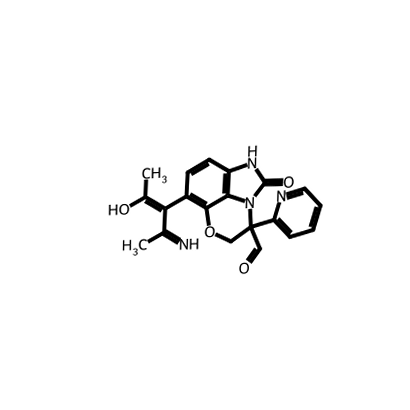 CC(=N)/C(=C(/C)O)c1ccc2[nH]c(=O)n3c2c1OCC3(C=O)c1ccccn1